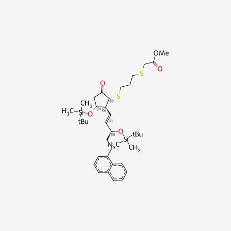 COC(=O)CSCCCS[C@H]1C(=O)C[C@@H](O[Si](C)(C)C(C)(C)C)[C@@H]1/C=C/[C@H](CCc1cccc2ccccc12)O[Si](C)(C)C(C)(C)C